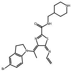 C=C/N=C1/SC(C(=O)NCC2CCNCC2)=N/C1=C(/C)N1CCc2cc(Br)ccc21